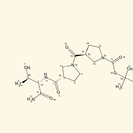 C[C@@H](O)[C@H](NC(=O)[C@H]1CCN(C(=O)[C@H]2CCN(C(=O)OC(C)(C)C)C2)C1)C(N)=O